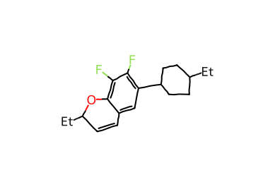 CCC1CCC(c2cc3c(c(F)c2F)OC(CC)C=C3)CC1